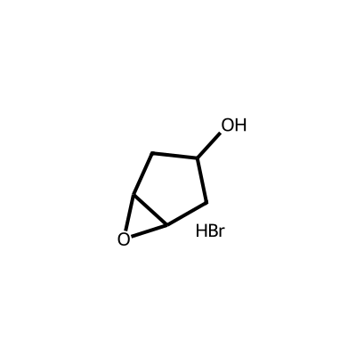 Br.OC1CC2OC2C1